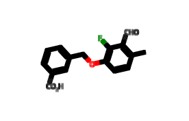 Cc1ccc(OCc2cccc(C(=O)O)c2)c(F)c1C=O